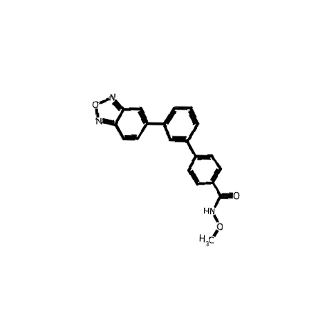 CONC(=O)c1ccc(-c2cccc(-c3ccc4nonc4c3)c2)cc1